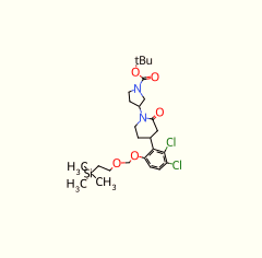 CC(C)(C)OC(=O)N1CCC(N2CCC(c3c(OCOCC[Si](C)(C)C)ccc(Cl)c3Cl)CC2=O)C1